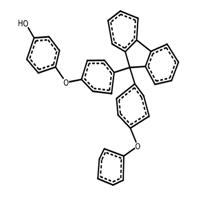 Oc1ccc(Oc2ccc(C3(c4ccc(Oc5ccccc5)cc4)c4ccccc4-c4ccccc43)cc2)cc1